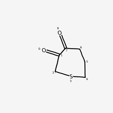 O=C1[CH]SCCCC1=O